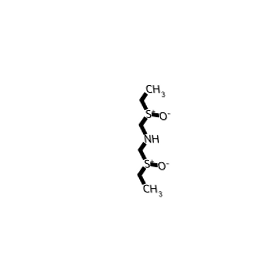 CC[S+]([O-])CNC[S+]([O-])CC